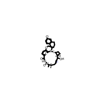 CC1[C@H](C)C/C=C/C(O)[C@@H]2CCC2CN2CC3(CCCc4cc(Cl)ccc43)COc3ccc(cc32)C(=O)N[S+]1[O-]